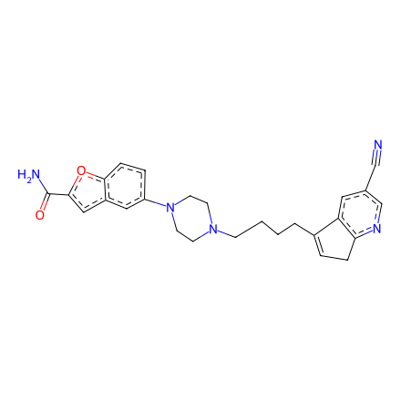 N#Cc1cnc2c(c1)C(CCCCN1CCN(c3ccc4oc(C(N)=O)cc4c3)CC1)=CC2